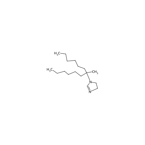 CCCCCCC(C)(CCCCCC)N1C=NCC1